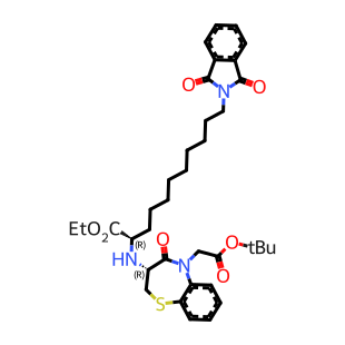 CCOC(=O)[C@@H](CCCCCCCCCN1C(=O)c2ccccc2C1=O)N[C@H]1CSc2ccccc2N(CC(=O)OC(C)(C)C)C1=O